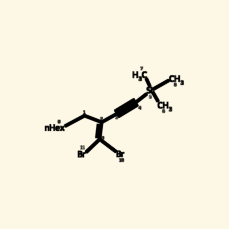 CCCCCCCC(C#C[Si](C)(C)C)=C(Br)Br